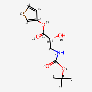 CC(C)(C)OC(=O)NC[C@@H](O)C(=O)Oc1ccsc1